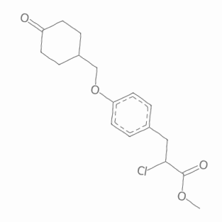 COC(=O)C(Cl)Cc1ccc(OCC2CCC(=O)CC2)cc1